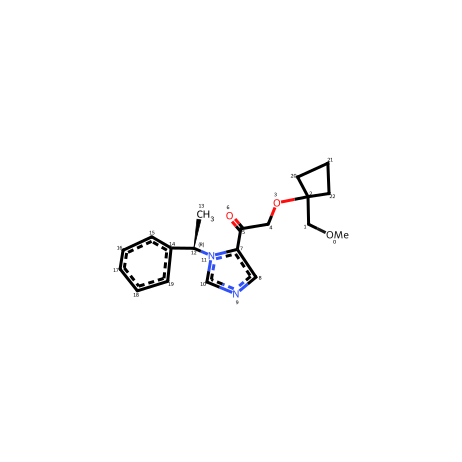 COCC1(OCC(=O)c2cncn2[C@H](C)c2ccccc2)CCC1